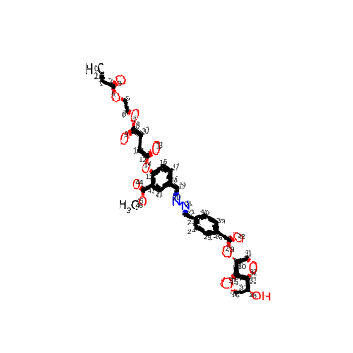 C=CC(=O)OCCOC(=O)CCC(=O)Oc1ccc(/C=N/N=C/c2ccc(C(=O)O[C@@H]3COC4C3OC[C@H]4O)cc2)cc1C(=O)OC